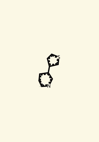 [c]1ccc(-c2ccsc2)cn1